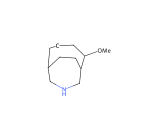 COC1CCCC2CCC1CNC2